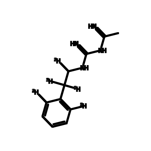 [2H]c1cccc([2H])c1C([2H])([2H])C([2H])NC(=N)NC(C)=N